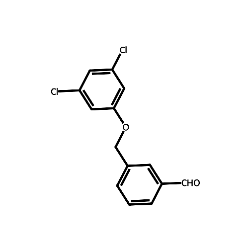 O=Cc1cccc(COc2cc(Cl)cc(Cl)c2)c1